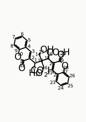 O=C(O)C(c1cc2ccccc2oc1=O)C(CO)(CO)C(C(=O)O)c1cc2ccccc2oc1=O